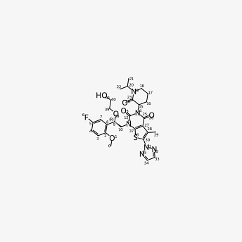 COc1ccc(F)cc1[C@H](Cn1c(=O)n(C2CCCN(C(C)C)C2=O)c(=O)c2c(C)c(-n3nccn3)sc21)OCCO